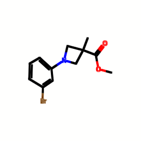 COC(=O)C1(C)CN(c2cccc(Br)c2)C1